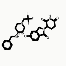 O=C1CCC(N2Cc3cc(O[C@H]4CN(CC(F)(F)F)CC[C@@H]4NCc4ccccc4)ccc3C2=O)C(=O)N1